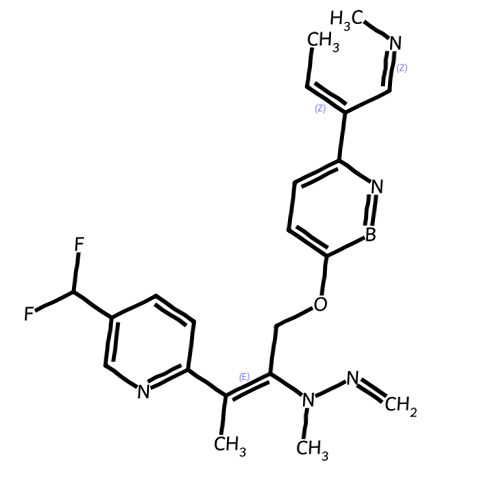 C=NN(C)/C(COc1bnc(C(/C=N\C)=C/C)cc1)=C(\C)c1ccc(C(F)F)cn1